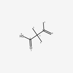 C=C(C)C(C)(C)C(=O)S